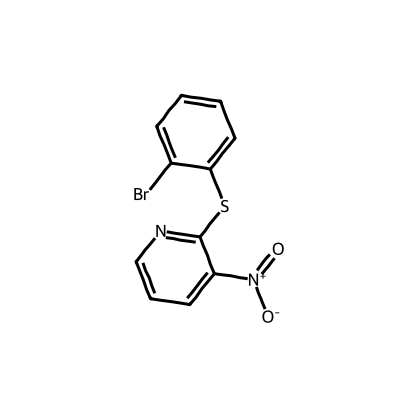 O=[N+]([O-])c1cccnc1Sc1ccccc1Br